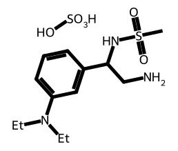 CCN(CC)c1cccc(C(CN)NS(C)(=O)=O)c1.O=S(=O)(O)O